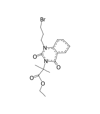 CCOC(=O)C(C)(C)n1c(=O)c2ccccc2n(CCCBr)c1=O